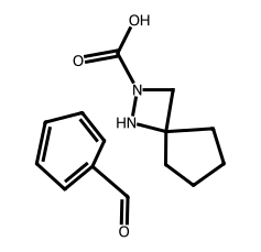 O=C(O)N1CC2(CCCC2)N1.O=Cc1ccccc1